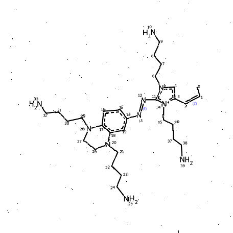 C/C=C\c1cn(CCCCN)c(/N=N/c2ccc3c(c2)N(CCCCN)CCN3CCCCN)[n+]1CCCCN